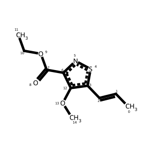 C/C=C/c1snc(C(=O)OCC)c1OC